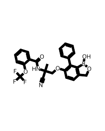 CC(C#N)(COc1ccc2c(c1-c1ccccc1)B(O)OC2)NC(=O)c1ccccc1OC(F)(F)F